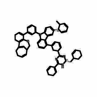 CC1C=CC=C[C@@H]1c1ccc2c(c1)c1c(C3=CC=CC(C4=N[C@H](CC5C=CCCC5)NC(C5=CCCC=C5)=N4)C3)cccc1n2-c1cccc(C2=CCCC3=C2OCC2C=CCCC3=C2)c1